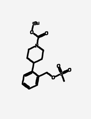 CC(C)(C)OC(=O)N1CCC(c2ccccc2COS(C)(=O)=O)CC1